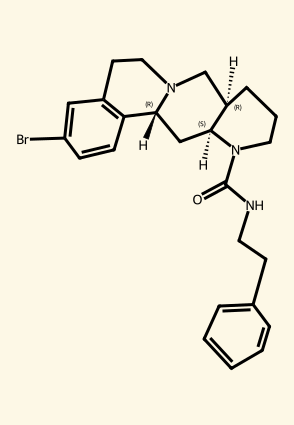 O=C(NCCc1ccccc1)N1CCC[C@@H]2CN3CCc4cc(Br)ccc4[C@H]3C[C@@H]21